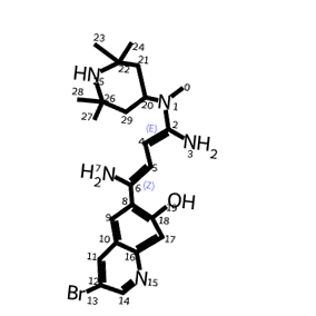 CN(/C(N)=C/C=C(\N)c1cc2cc(Br)cnc2cc1O)C1CC(C)(C)NC(C)(C)C1